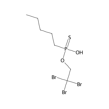 CCCCCP(O)(=S)OCC(Br)(Br)Br